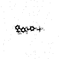 CC(C)(O)c1ccccc1-c1ccc2[nH]c(-c3ccc(OCC(F)(F)C(F)(F)F)cc3)nc2c1